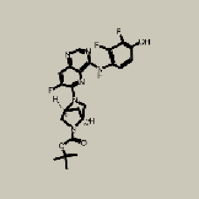 CC(C)(C)OC(=O)N1C[C@@H]2C[C@H]1CN2c1nc2c(Nc3ccc(O)c(F)c3F)ncnc2cc1F